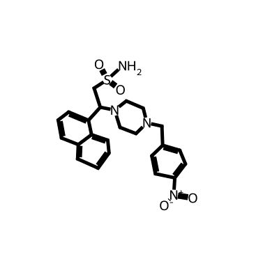 NS(=O)(=O)CC(c1cccc2ccccc12)N1CCN(Cc2ccc([N+](=O)[O-])cc2)CC1